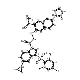 Cc1cc(C)c(S(=O)(=O)n2cc(C(=O)COc3cc4ccc(-n5cccn5)cc4cc3C(N)=O)c3ccc(C4CC4)cc32)c(C)c1